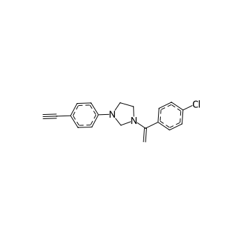 C#Cc1ccc(N2CCN(C(=C)c3ccc(Cl)cc3)C2)cc1